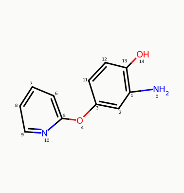 Nc1cc(Oc2ccccn2)ccc1O